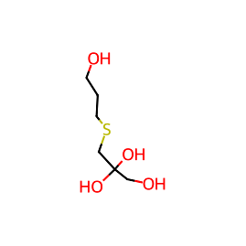 OCCCSCC(O)(O)CO